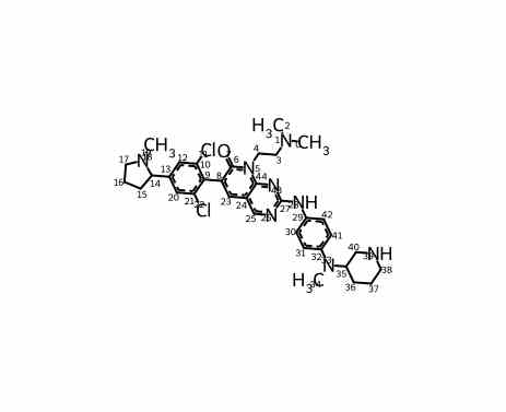 CN(C)CCn1c(=O)c(-c2c(Cl)cc(C3CCCN3C)cc2Cl)cc2cnc(Nc3ccc(N(C)C4CCCNC4)cc3)nc21